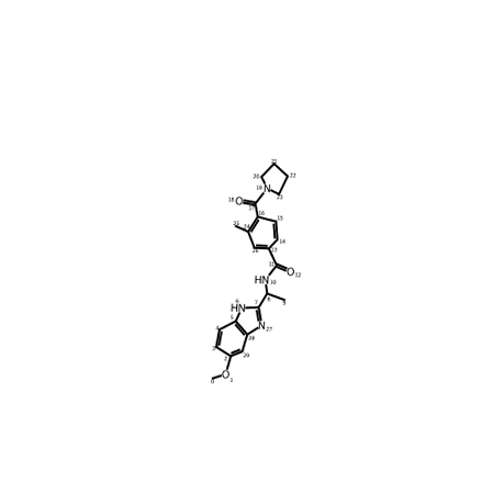 COc1ccc2[nH]c(C(C)NC(=O)c3ccc(C(=O)N4CCCC4)c(C)c3)nc2c1